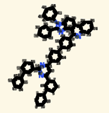 c1ccc(-c2cccc(-c3cc(-c4ccc(-c5ccc(-c6nc7ccccc7c7ccc8c(nc(-c9ccccc9)n8-c8ccccc8)c67)cc5)cc4)nc(-c4cccc(-c5ccccc5)c4)n3)c2)cc1